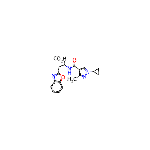 Cc1nn(C2CC2)cc1C(=O)N[C@@H](Cc1nc2ccccc2o1)C(=O)O